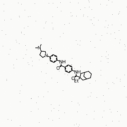 CCC1(C(=O)Nc2ccc(C(=O)Nc3ccc(N4CCC(N(C)C)C4)cc3)cc2)CC2CCCC(C2)C1